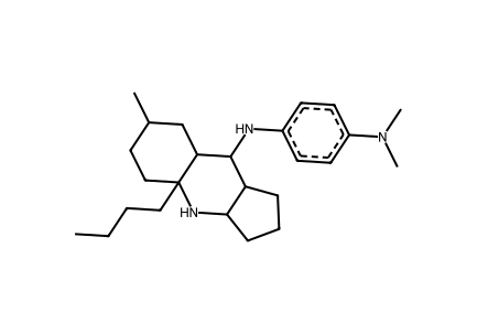 CCCCC12CCC(C)CC1C(Nc1ccc(N(C)C)cc1)C1CCCC1N2